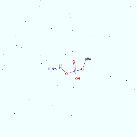 CCCCOP(=O)(O)ONN